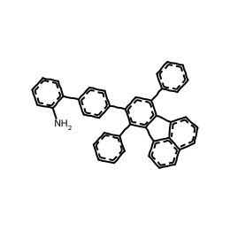 Nc1ccccc1-c1ccc(-c2cc(-c3ccccc3)c3c(c2-c2ccccc2)-c2cccc4cccc-3c24)cc1